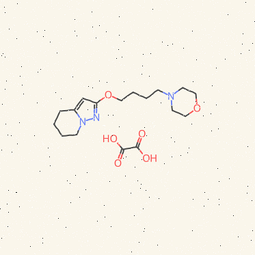 O=C(O)C(=O)O.c1c(OCCCCN2CCOCC2)nn2c1CCCC2